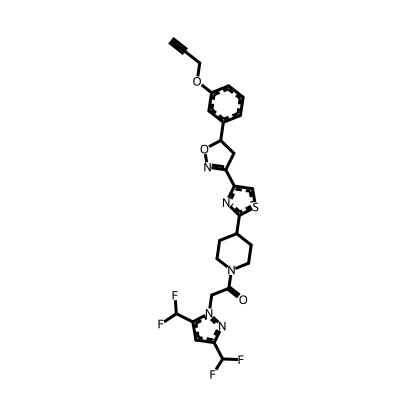 C#CCOc1cccc(C2CC(c3csc(C4CCN(C(=O)Cn5nc(C(F)F)cc5C(F)F)CC4)n3)=NO2)c1